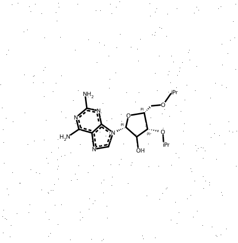 CC(C)OC[C@H]1O[C@@H](n2cnc3c(N)nc(N)nc32)C(O)[C@H]1OC(C)C